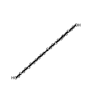 OCCOCCOCCOCCOCCOCCOCCOCCOCCOCCOCCOCCCCOCCOCCOCCOCCOCCOCCOCCOCCOCCOCCOCCO